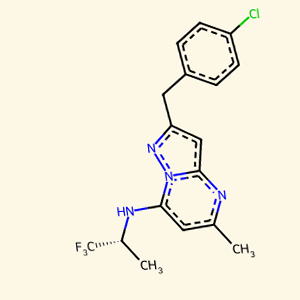 Cc1cc(N[C@H](C)C(F)(F)F)n2nc(Cc3ccc(Cl)cc3)cc2n1